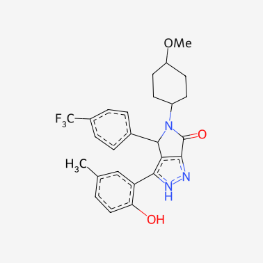 COC1CCC(N2C(=O)c3n[nH]c(-c4cc(C)ccc4O)c3C2c2ccc(C(F)(F)F)cc2)CC1